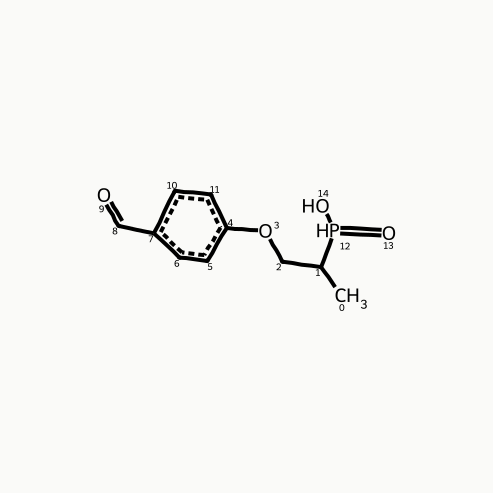 CC(COc1ccc(C=O)cc1)[PH](=O)O